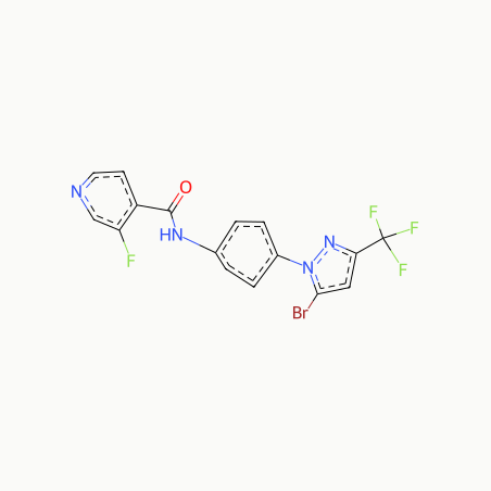 O=C(Nc1ccc(-n2nc(C(F)(F)F)cc2Br)cc1)c1ccncc1F